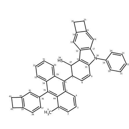 Cc1cccc2c(C3C=Cc4c(c5cc6c(cc5n4-c4ccccc4)CC6)C3S)c3ccccc3c(-c3ccc4c(c3)CC4)c12